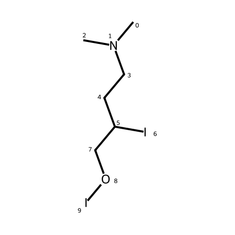 CN(C)CCC(I)COI